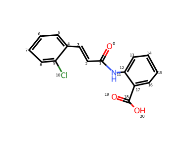 O=C(C=Cc1ccccc1Cl)Nc1ccccc1C(=O)O